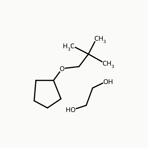 CC(C)(C)COC1CCCC1.OCCO